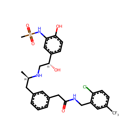 C[C@H](Cc1cccc(CC(=O)NCc2cc(C(F)(F)F)ccc2Cl)c1)NC[C@@H](O)c1ccc(O)c(NS(C)(=O)=O)c1